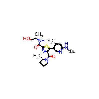 C[C@@H](CO)NC(=O)c1nc(C(=O)N2CCC[C@@H]2C)c(-c2cnc(NC(C)(C)C)cc2C(F)(F)F)s1